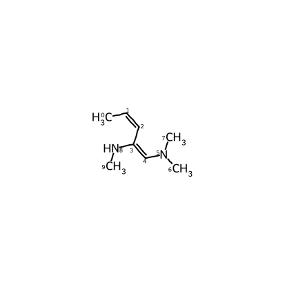 C/C=C\C(=C/N(C)C)NC